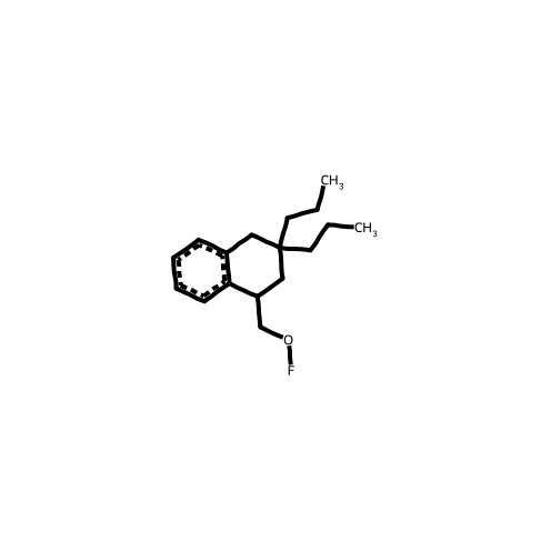 CCCC1(CCC)Cc2ccccc2C(COF)C1